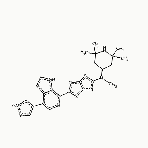 CN(c1nc2sc(-c3ncc(-c4cn[nH]c4)c4cc[nH]c34)nc2s1)C1CC(C)(C)NC(C)(C)C1